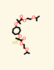 CC(C)OCCOC(=O)C(C)(C)OC1CCCC(OC(C)(S)C(=O)OCCOC(C)C)CC1